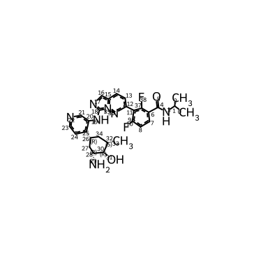 CC(C)NC(=O)c1ccc(F)c(-c2ccc3cnc(Nc4cnccc4[C@H]4C[C@@H](N)[C@H](O)[C@@H](C)C4)n3n2)c1F